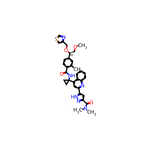 COC[C@H](OCc1cscn1)c1ccc(C(=O)NC2(c3cc(-c4cc(C(=O)N(C)C)n[nH]4)nc4ccccc34)CC2)c(C)c1